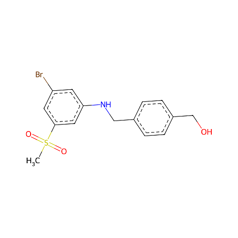 CS(=O)(=O)c1cc(Br)cc(NCc2ccc(CO)cc2)c1